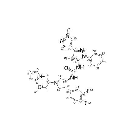 COCC(Cn1ccnc1)N1C[C@@H](NC(=O)Nc2c(C)c(-c3cnn(C)c3)nn2-c2ccccc2)[C@H](c2ccc(F)c(F)c2)C1